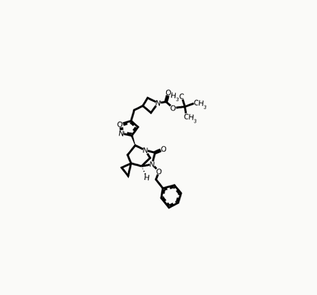 CC(C)(C)OC(=O)N1CC(Cc2cc([C@@H]3CC4(CC4)[C@H]4CN3C(=O)N4OCc3ccccc3)no2)C1